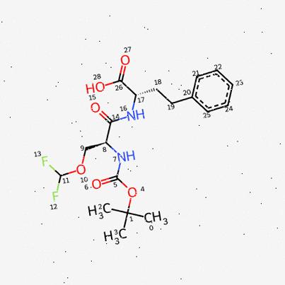 CC(C)(C)OC(=O)N[C@@H](COC(F)F)C(=O)N[C@@H](CCc1ccccc1)C(=O)O